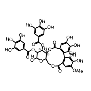 COc1cc2c(c(O)c1O)-c1c(cc(O)c(O)c1O)C(=O)O[C@@H]1C(COC2=O)OC(O)C(OC(=O)c2cc(O)c(O)c(O)c2)[C@H]1OC(=O)c1cc(O)c(O)c(O)c1